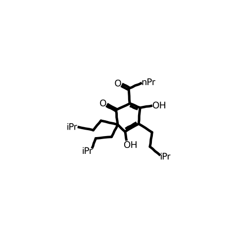 CCCC(=O)C1=C(O)C(CCC(C)C)=C(O)C(CCC(C)C)(CCC(C)C)C1=O